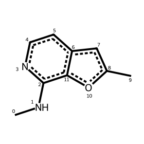 CNc1nccc2cc(C)oc12